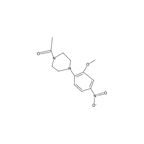 COc1cc([N+](=O)[O-])ccc1N1CCN(C(C)=O)CC1